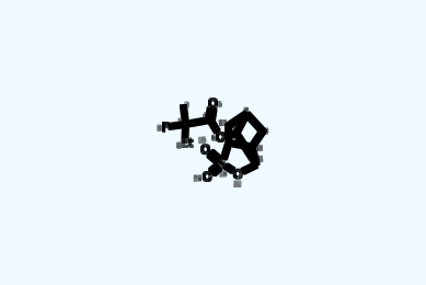 CCC(C)(F)C(=O)OC1C2CC3C1OS(=O)(=O)C3C2